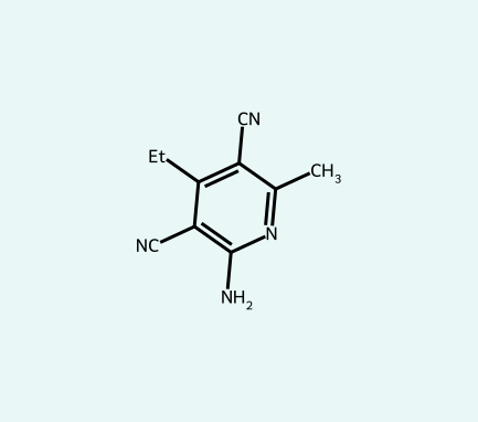 CCc1c(C#N)c(C)nc(N)c1C#N